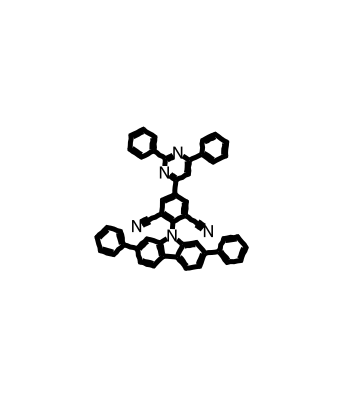 N#Cc1cc(-c2cc(-c3ccccc3)nc(-c3ccccc3)n2)cc(C#N)c1-n1c2cc(-c3ccccc3)ccc2c2ccc(-c3ccccc3)cc21